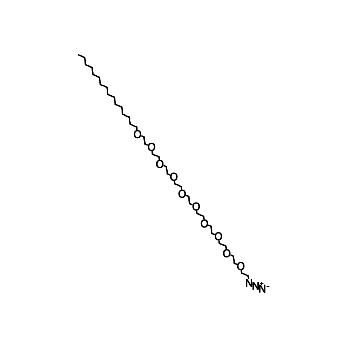 CCCCCCCCCCCCCCCCOCCOCCOCCOCCOCCOCCOCCOCCOCCOCCN=[N+]=[N-]